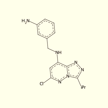 CC(C)c1nnc2c(NCc3cccc(N)c3)cc(Cl)nn12